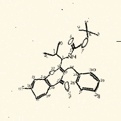 CC(C)[C@@H](NC(=O)OC(C)(C)C)c1oc2cc(F)ccc2c(=O)c1Cc1ccccc1